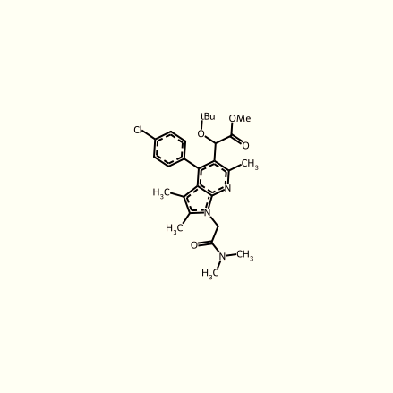 COC(=O)C(OC(C)(C)C)c1c(C)nc2c(c(C)c(C)n2CC(=O)N(C)C)c1-c1ccc(Cl)cc1